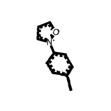 Cc1ccc(-[n+]2ccco2)cc1